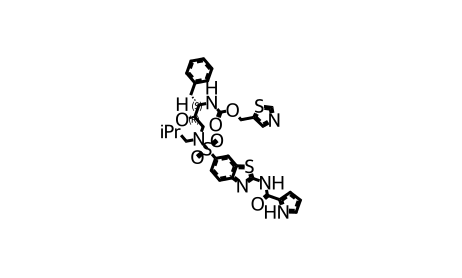 CC(C)CN(C[C@@H](O)[C@H](Cc1ccccc1)NC(=O)OCc1cncs1)S(=O)(=O)c1ccc2nc(NC(=O)c3ccc[nH]3)sc2c1